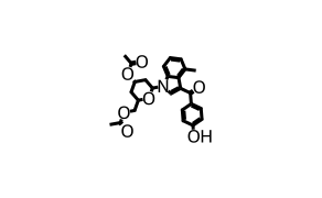 CC(=O)OCC1CC(OC(C)=O)CC(n2cc(C(=O)c3ccc(O)cc3)c3c(C)cccc32)O1